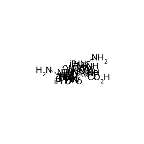 CC(C)[C@H](NC(=O)[C@H](Cc1c[nH]c2ccccc12)NC(=O)[C@H](Cc1ccccc1)NC(=O)[C@@H](NC(=O)[C@@H](NC(=O)[C@@H](N)CCCCN)C(C)C)C(C)C)C(=O)N[C@@H](CCCCN)C(=O)N[C@@H](Cc1ccccc1)C(=O)N[C@@H](CCCCN)C(=O)O